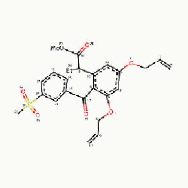 C=CCOc1cc(OCC=C)c(C(=O)c2cccc(S(C)(=O)=O)c2)c(C(CC)C(=O)OC)c1